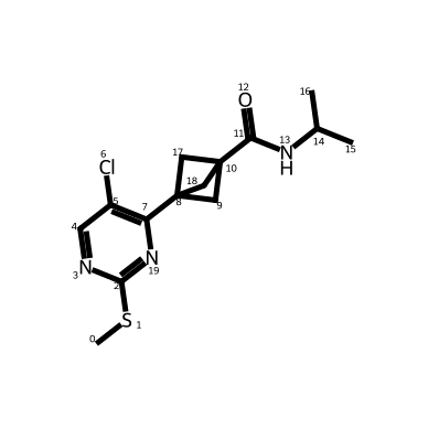 CSc1ncc(Cl)c(C23CC(C(=O)NC(C)C)(C2)C3)n1